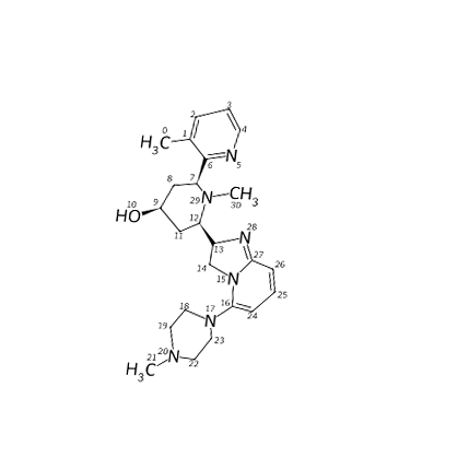 Cc1cccnc1[C@@H]1C[C@H](O)C[C@H](C2CN3C(N4CCN(C)CC4)=CC=CC3=N2)N1C